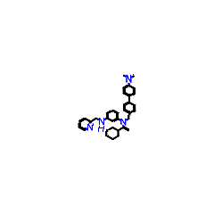 C=C(C1CCCCC1)N(Cc1ccc(-c2ccc(N(C)C)cc2)cc1)c1cccc(NCc2ccccn2)c1